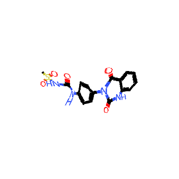 CS(=O)(=O)NC(=O)Nc1ccc(-n2c(=O)[nH]c3ccccc3c2=O)cc1